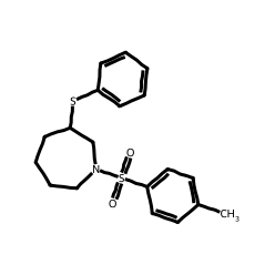 Cc1ccc(S(=O)(=O)N2CCCCC(Sc3ccccc3)C2)cc1